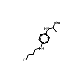 CCCCC(C)Nc1ccc(NCCCC(C)C)cc1